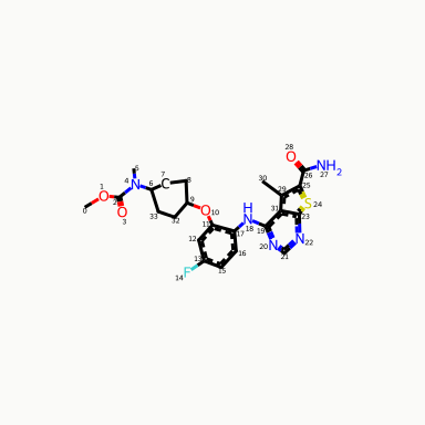 COC(=O)N(C)C1CCC(Oc2cc(F)ccc2Nc2ncnc3sc(C(N)=O)c(C)c23)CC1